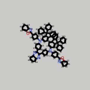 c1ccc(C2(c3ccccc3)c3ccccc3-c3ccc(N(c4ccc(-c5nc6ccccc6o5)cc4)c4ccc(-c5nc6ccccc6nc5-c5ccc(N(c6ccc(-c7nc8ccccc8o7)cc6)c6ccc7c(c6)C(c6ccccc6)(c6ccccc6)c6ccccc6-7)cc5)cc4)cc32)cc1